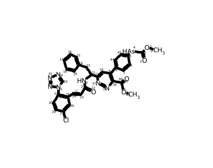 COC(=O)[AsH]c1ccc(-c2cc(C(Cc3ccccc3)NC(=O)/C=C/c3cc(Cl)ccc3-n3cnnn3)nnc2C(=O)OC)cc1